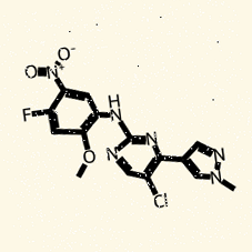 COc1cc(F)c([N+](=O)[O-])cc1Nc1ncc(Cl)c(-c2cnn(C)c2)n1